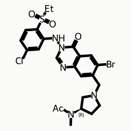 CCS(=O)(=O)c1ccc(Cl)cc1Nn1cnc2cc(CN3CC[C@@H](N(C)C(C)=O)C3)c(Br)cc2c1=O